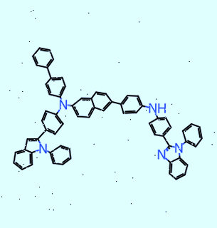 c1ccc(-c2ccc(N(c3ccc(-c4cc5ccccc5n4-c4ccccc4)cc3)c3ccc4cc(-c5ccc(Nc6ccc(-c7nc8ccccc8n7-c7ccccc7)cc6)cc5)ccc4c3)cc2)cc1